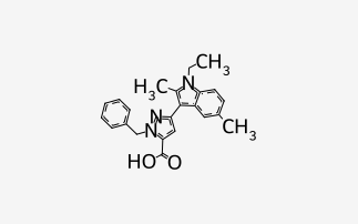 CCn1c(C)c(-c2cc(C(=O)O)n(Cc3ccccc3)n2)c2cc(C)ccc21